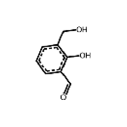 O=Cc1cccc(CO)c1O